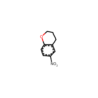 O=[N+]([O-])c1ccc2c(c1)CCCO2